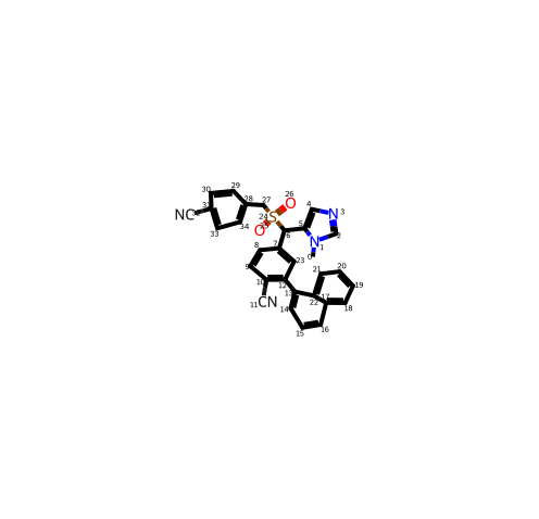 Cn1cncc1C(c1ccc(C#N)c(-c2cccc3ccccc23)c1)S(=O)(=O)Cc1ccc(C#N)cc1